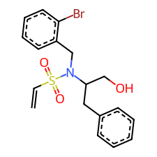 C=CS(=O)(=O)N(Cc1ccccc1Br)C(CO)Cc1ccccc1